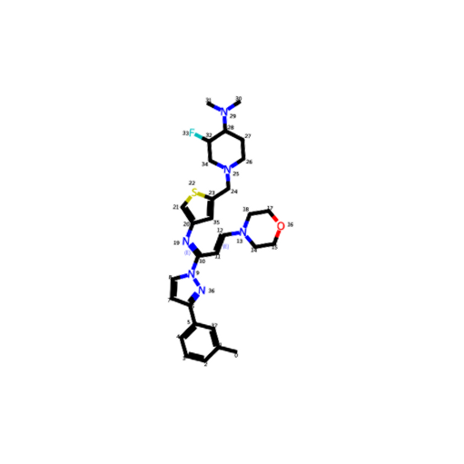 Cc1cccc(-c2ccn(C(/C=C/N3CCOCC3)=N/c3csc(CN4CCC(N(C)C)C(F)C4)c3)n2)c1